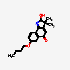 CCCCOc1ccc2c(c1)C(=O)C=C1C2=NC(O)C1(C)C